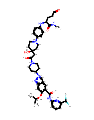 CNC(=O)C(CCC=O)Nc1ccc(N2CCC(O)(CC(=O)N3CCC(n4cc5cc(C(=O)Nc6cccc(C(F)F)n6)c(OC(C)C)cc5n4)CC3)CC2)cc1